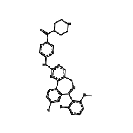 COc1cccc(F)c1C1=NCc2cnc(Nc3ccc(C(=O)N4CCNCC4)cc3)nc2-c2ccc(Cl)cc21